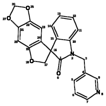 O=C1N(Cc2cccnc2)c2ccccc2C12COc1cc3c(cc12)OCO3